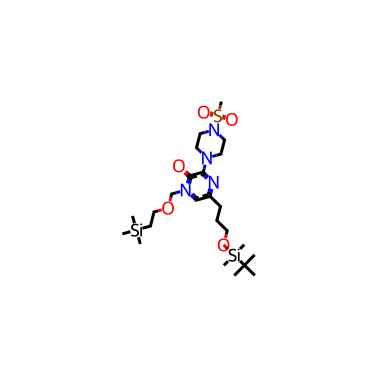 CC(C)(C)[Si](C)(C)OCCCc1cn(COCC[Si](C)(C)C)c(=O)c(N2CCN(S(C)(=O)=O)CC2)n1